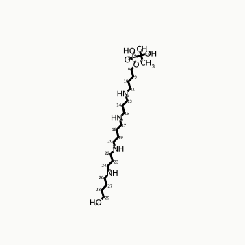 CC(C)(O)P(=O)(O)OCCCCNCCCNCCCCNCCCNCCCCO